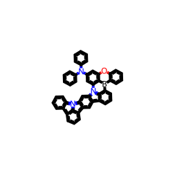 c1ccc(N(c2ccccc2)c2cc3c4c(c2)-n2c5cc6c(cc5c5cccc(c52)B4c2ccccc2O3)c2cccc3c4ccccc4n6c32)cc1